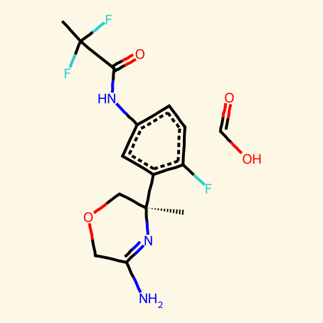 CC(F)(F)C(=O)Nc1ccc(F)c([C@]2(C)COCC(N)=N2)c1.O=CO